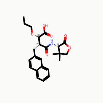 CCCO[C@H](C(=O)O)[C@@H](Cc1ccc2ccccc2c1)C(=O)N[C@@H]1C(=O)OCC1(C)C